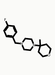 CC1(N2CCN(Cc3ccc(F)cc3)CC2)CCOCC1